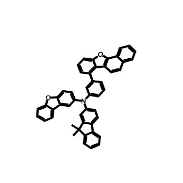 CC1(C)c2ccccc2-c2ccc(N(c3cccc(-c4cccc5oc6c7ccccc7ccc6c45)c3)c3ccc4oc5ccccc5c4c3)cc21